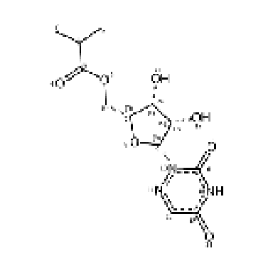 CC(C)C(=O)OC[C@H]1O[C@@H](n2ncc(=O)[nH]c2=O)[C@@H](O)[C@H]1O